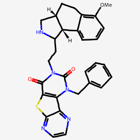 COc1cccc2c1CC[C@H]1CNC(CCn3c(=O)c4sc5nccnc5c4n(Cc4ccccc4)c3=O)[C@@H]21